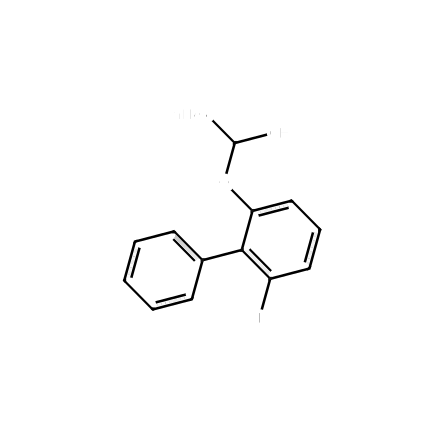 CCCCCCC(C)Oc1cccc(I)c1-c1ccccc1